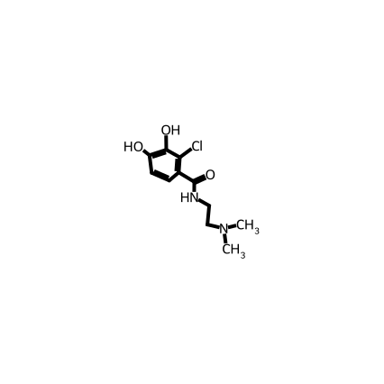 CN(C)CCNC(=O)c1ccc(O)c(O)c1Cl